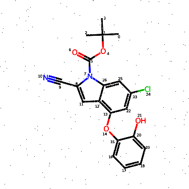 CC(C)(C)OC(=O)n1c(C#N)cc2c(Oc3ccccc3O)cc(Cl)cc21